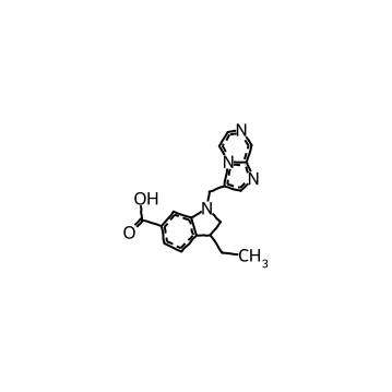 CCC1CN(Cc2cnc3cnccn23)c2cc(C(=O)O)ccc21